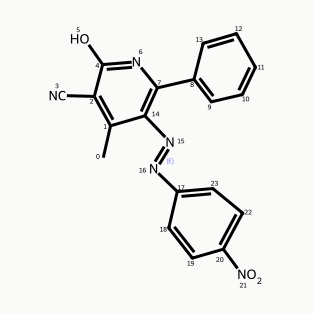 Cc1c(C#N)c(O)nc(-c2ccccc2)c1/N=N/c1ccc([N+](=O)[O-])cc1